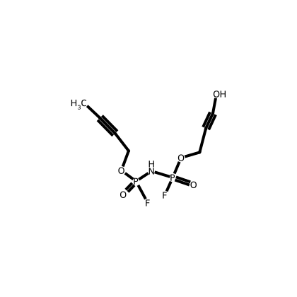 CC#CCOP(=O)(F)NP(=O)(F)OCC#CO